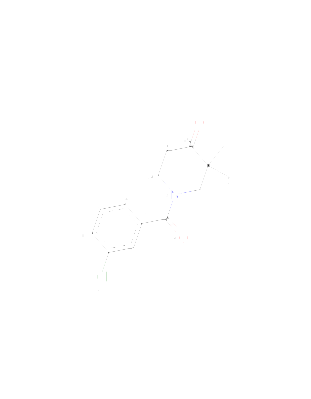 CC1(C)CN(C(=O)c2cccc(Cl)c2)CCC1=O